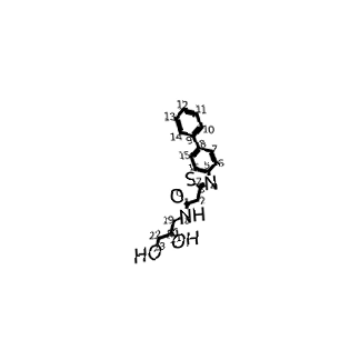 O=C(Cc1nc2ccc(-c3ccccc3)cc2s1)NC[C@H](O)CO